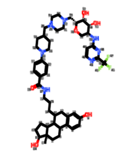 C[C@]12CCC3c4ccc(O)cc4CC(CCCNC(=O)c4ccc(N5CCC(CN6CCN(C[C@H]7OC[C@H](Nc8ccnc(C(F)(F)F)n8)[C@@H](O)[C@H]7O)CC6)CC5)cc4)C3C1CC[C@@H]2O